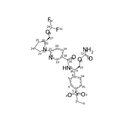 CCS(=O)(=O)c1ccc([C@H](COC(N)=O)NC(=O)c2ccc(N3CCC[C@H]3COC(F)F)nc2)cc1